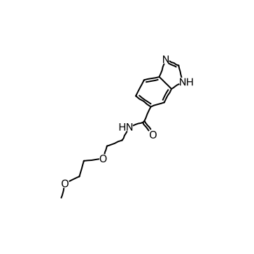 COCCOCCNC(=O)c1ccc2nc[nH]c2c1